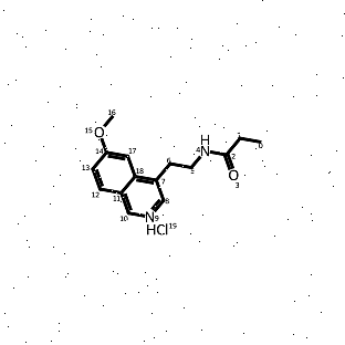 CCC(=O)NCCc1cncc2ccc(OC)cc12.Cl